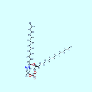 CCCCCCCCCCCCC/C=C/C1OC(=O)OC(C)(C)C1NC(=O)CCCCCCCCCCCCCCC